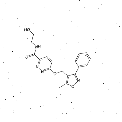 Cc1onc(-c2ccccc2)c1COc1ccc(C(=O)NCCO)nn1